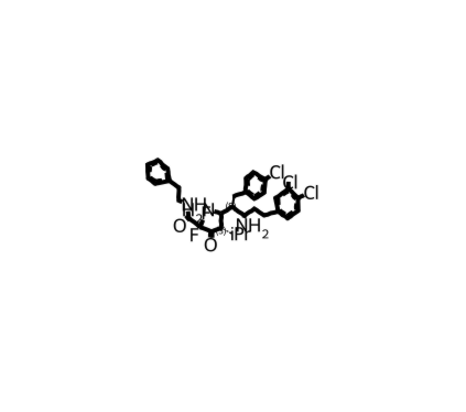 CC(C)[C@H](C(=O)C(F)(F)C(=O)NCCc1ccccc1)C(N)[C@@H](Cc1ccc(Cl)cc1)C(N)CCc1ccc(Cl)c(Cl)c1